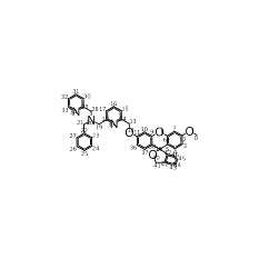 COc1ccc2c(c1)Oc1cc(OCc3cccc(CN(Cc4ccccc4)Cc4ccccn4)n3)ccc1C21OCc2ccccc21